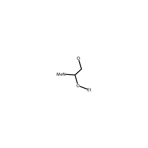 CCOC(C[O])NC